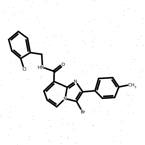 Cc1ccc(-c2nc3c(C(=O)NCc4ccccc4Cl)cccn3c2Br)cc1